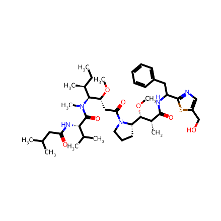 CC[C@H](C)[C@@H]([C@@H](CC(=O)N1CCC[C@H]1[C@H](OC)[C@@H](C)C(=O)NC(Cc1ccccc1)c1ncc(CO)s1)OC)N(C)C(=O)[C@@H](NC(=O)CC(C)C)C(C)C